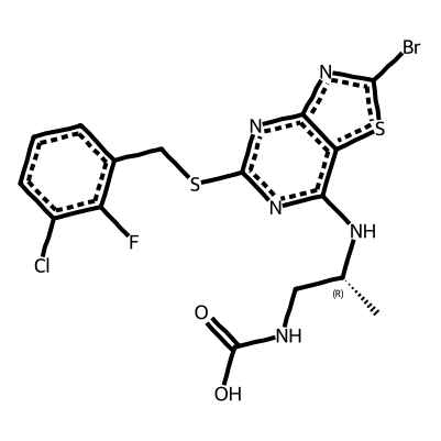 C[C@H](CNC(=O)O)Nc1nc(SCc2cccc(Cl)c2F)nc2nc(Br)sc12